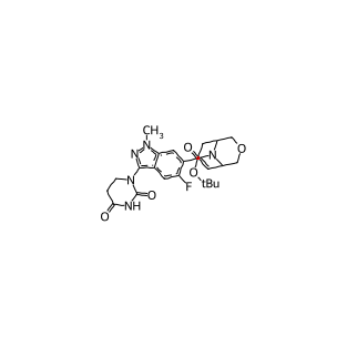 Cn1nc(N2CCC(=O)NC2=O)c2cc(F)c(C3=CC4COCC(C3)N4C(=O)OC(C)(C)C)cc21